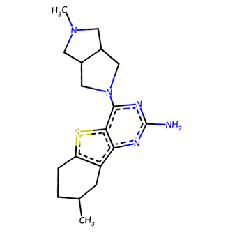 CC1CCc2sc3c(N4CC5CN(C)CC5C4)nc(N)nc3c2C1